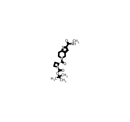 CNC(=O)c1cc2c(s1)CCN(C(=O)[C@H]1CCN1C(=O)OC(C)(C)C)C2